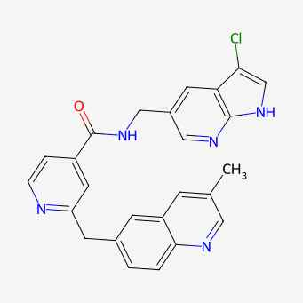 Cc1cnc2ccc(Cc3cc(C(=O)NCc4cnc5[nH]cc(Cl)c5c4)ccn3)cc2c1